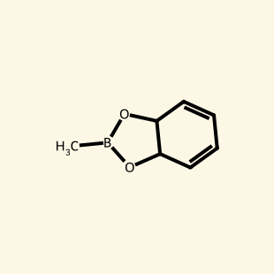 CB1OC2C=CC=CC2O1